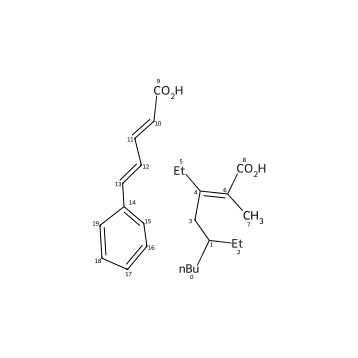 CCCCC(CC)CC(CC)=C(C)C(=O)O.O=C(O)C=CC=Cc1ccccc1